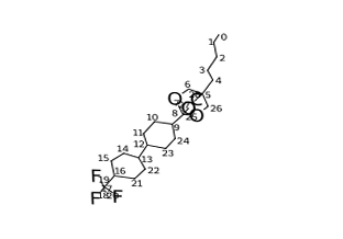 CCCCCC12COC(C3CCC(C4CCC(C(F)(F)F)CC4)CC3)(OC1)OC2